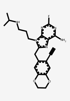 C#Cc1cc2c(cc1Cc1nc3c(N)nc(F)nc3n1CCCNC(C)C)OCCO2